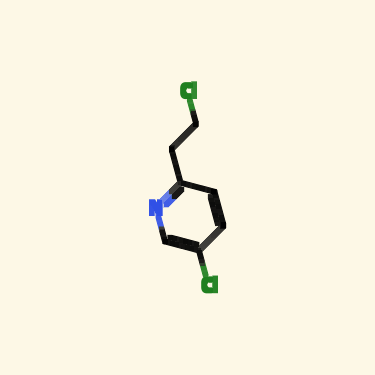 ClCCc1ccc(Cl)cn1